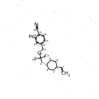 C=C[C@H]1CC[C@H](CC(F)(F)OCc2ccc(C#N)c(F)c2)CC1